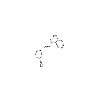 O=C(/C=C/c1cccc(N2CC2)c1)c1ccccc1O